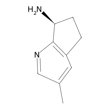 Cc1cnc2c(c1)CC[C@@H]2N